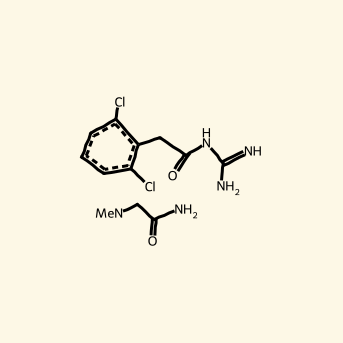 CNCC(N)=O.N=C(N)NC(=O)Cc1c(Cl)cccc1Cl